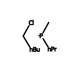 CCCCCCl.CCC[P]C